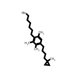 Cc1cc(CCCCC2(C)CC2)c(C)c(C)c1CCCCCCC(C)(C)C